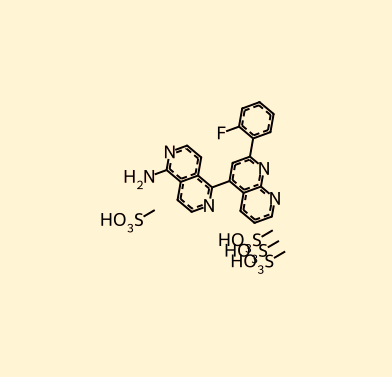 CS(=O)(=O)O.CS(=O)(=O)O.CS(=O)(=O)O.CS(=O)(=O)O.Nc1nccc2c(-c3cc(-c4ccccc4F)nc4ncccc34)nccc12